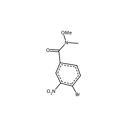 CON(C)C(=O)c1ccc(Br)c([N+](=O)[O-])c1